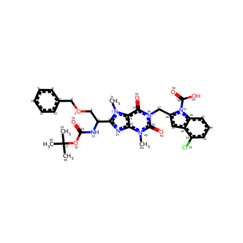 Cn1c(C(COCc2ccccc2)NC(=O)OC(C)(C)C)nc2c1c(=O)n(Cc1cc3c(Cl)cccc3n1C(=O)O)c(=O)n2C